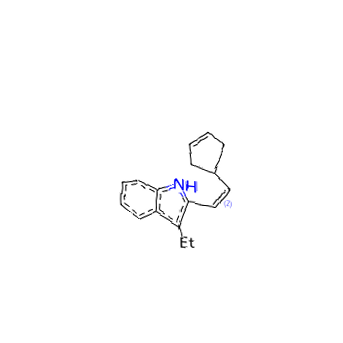 CCc1c(/C=C\C2CC=CC2)[nH]c2ccccc12